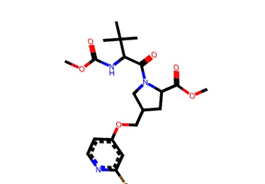 COC(=O)NC(C(=O)N1CC(COc2ccnc(Br)c2)CC1C(=O)OC)C(C)(C)C